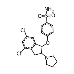 NS(=O)(=O)c1ccc(OC2c3cc(Cl)cc(Cl)c3CC2N2CCCC2)cc1